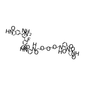 Nc1ncc(-c2ccc(S(=O)(=O)Nc3cccc(NC(=O)CCOCCOCCOCCNc4cccc5c4C(=O)N(C4CCC(=O)NC4=O)C5=O)c3)cc2F)cc1-c1ccc2c(c1)CCNC2=O